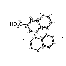 C1=CSc2ccccc2C1.O=C(O)c1ccc2ccccc2n1